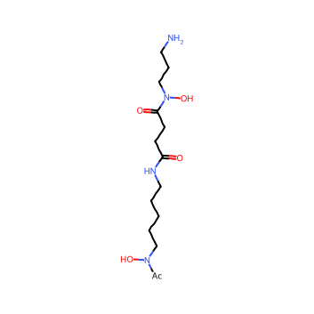 CC(=O)N(O)CCCCCNC(=O)CCC(=O)N(O)CCCN